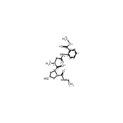 CCNC(=O)N1C[C@H](S)C[C@H]1C(=O)N(C)CC(=O)Nc1ccccc1C(=O)OC